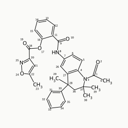 CC(=O)N1c2ccc(NC(=O)c3ccccc3OC(=O)c3cc(C)on3)cc2C(C)(c2ccccc2)CC1(C)C